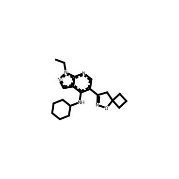 CCn1ncc2c(NC3CCCCC3)c(C3=NOC4(CCC4)C3)cnc21